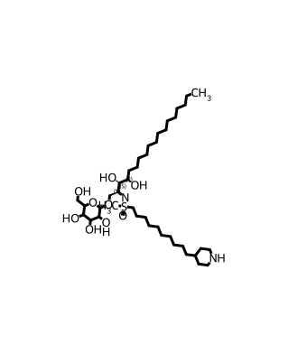 CCCCCCCCCCCCCC[C@@H](O)[C@@H](O)[C@H](COC1OC(CO)C(O)C(O)C1O)N=S(C)(=O)CCCCCCCCCCC1CCNCC1